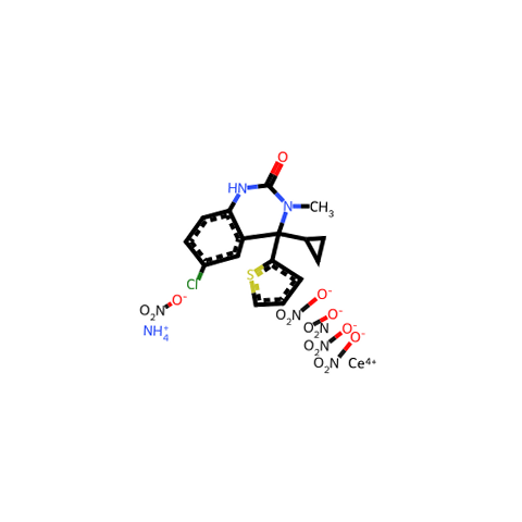 CN1C(=O)Nc2ccc(Cl)cc2C1(c1cccs1)C1CC1.O=[N+]([O-])[O-].O=[N+]([O-])[O-].O=[N+]([O-])[O-].O=[N+]([O-])[O-].O=[N+]([O-])[O-].[Ce+4].[NH4+]